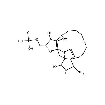 NC1NC(O)C23CCCCCCCCCCCC12C=CN3C1OC(COP(=O)(O)O)C(O)C1O